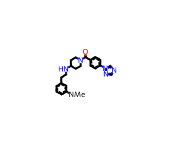 CNc1cccc(CCNC2CCN(C(=O)c3ccc(-n4cncn4)cc3)CC2)c1